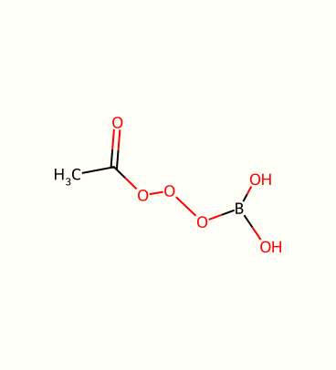 CC(=O)OOOB(O)O